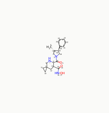 C[C@H]1CN(C(=O)C2NCC3(CC3)CC2C(=O)NO)C[C@@H]1c1ccccc1